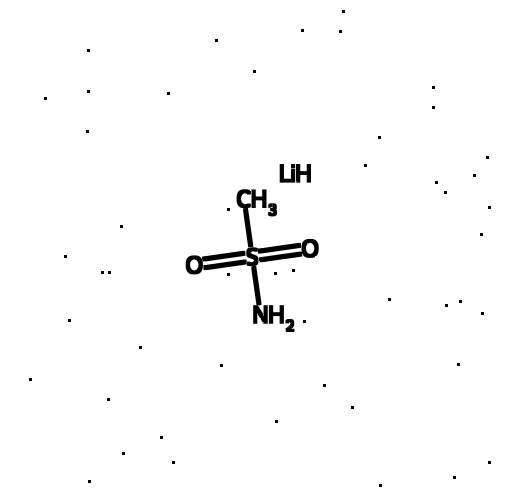 CS(N)(=O)=O.[LiH]